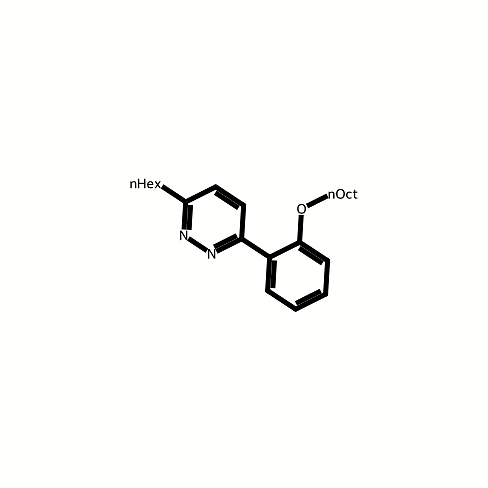 CCCCCCCCOc1ccccc1-c1ccc(CCCCCC)nn1